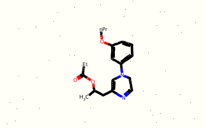 CCCOc1cccc(N2C=C(CC(C)OC(=O)CC)N=CC2)c1